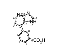 O=C(O)c1cccc(-c2ncnc3nc[nH]c23)c1